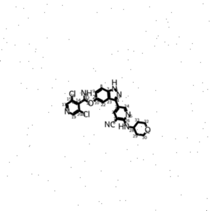 N#Cc1cc(-c2n[nH]c3ccc(O[C@H](N)c4c(Cl)cncc4Cl)cc23)cnc1NC1CCOCC1